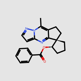 Cc1c2c(nc3ccnn13)[C@]1(CCC[C@H]1OC(=O)c1ccccc1)CC2